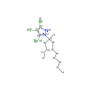 CCCCCCCC(C)(CCCC)n1nc(Br)c(F)c1Br